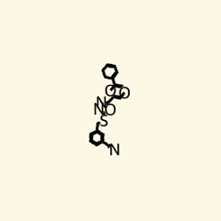 N#Cc1cccc(CSc2nnc(C3=COC=C(C4=CC=CCC4)O3)o2)c1